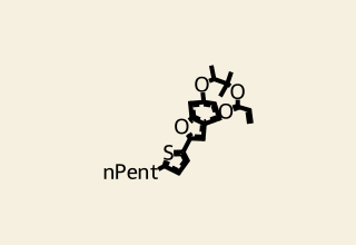 C=CC(=O)OC(C)(C)C(C)Oc1ccc2cc(-c3ccc(CCCCC)s3)oc2c1